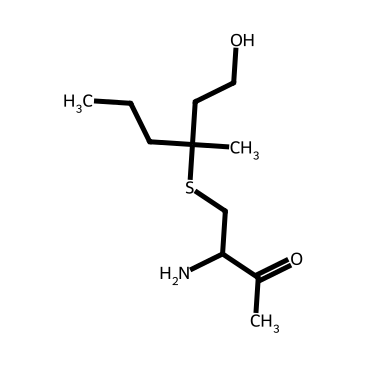 CCCC(C)(CCO)SCC(N)C(C)=O